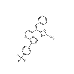 CC1OC(C(=Cc2ccccc2)c2ccnc3c(-c4ccc(C(F)(F)F)cc4)cnn23)O1